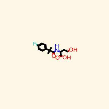 CC(C)(C(=O)NC(CCO)C(=O)O)c1ccc(F)cc1